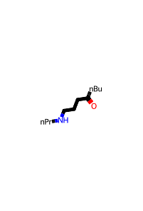 CCCCC(=O)CCCNCCC